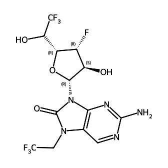 Nc1ncc2c(n1)n([C@@H]1O[C@H](C(O)C(F)(F)F)[C@H](F)[C@H]1O)c(=O)n2CC(F)(F)F